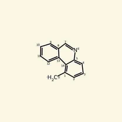 [CH2]c1cccc2ncc3ccccc3c12